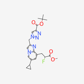 COC(=O)C(F)Cc1cc(C2CC2)cn2cc(Cn3cc(C(=O)OC(C)(C)C)nn3)nc12